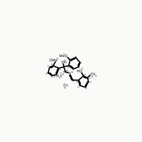 COc1ccccc1C(O)(c1ccccc1OC)[C@@H](C)N=Cc1cccc(C)c1O.[Cu]